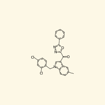 Cc1ccc2c(c1)c(C(=O)c1nnc(-c3ccccc3)o1)cn2Cc1ccc(Cl)cc1Cl